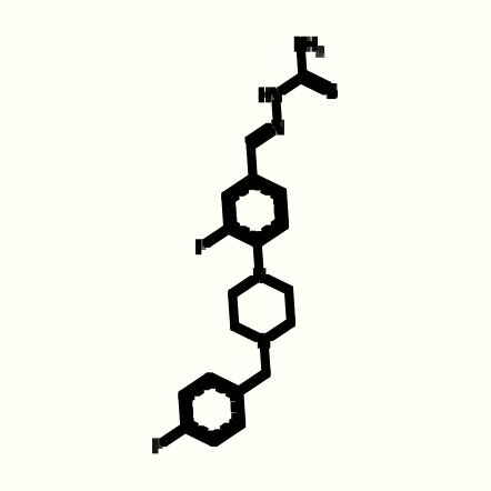 NC(=S)NN=Cc1ccc(N2CCN(Cc3ccc(F)cc3)CC2)c(F)c1